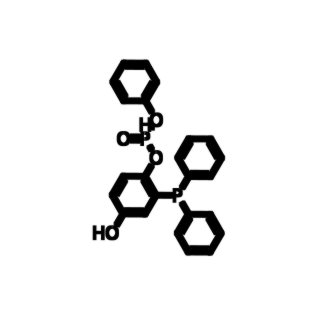 O=[PH](Oc1ccccc1)Oc1ccc(O)cc1P(c1ccccc1)c1ccccc1